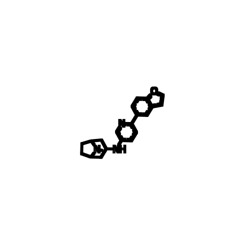 CN1C2CCC1CC(Nc1ccc(-c3ccc4occc4c3)nc1)C2